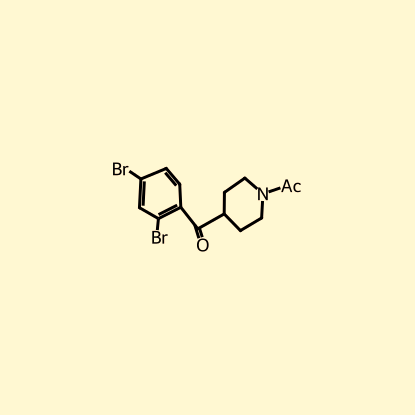 CC(=O)N1CCC(C(=O)c2ccc(Br)cc2Br)CC1